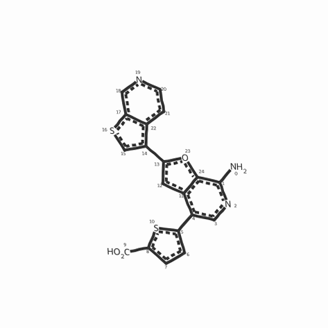 Nc1ncc(-c2ccc(C(=O)O)s2)c2cc(-c3csc4cnccc34)oc12